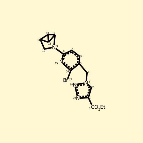 CCOC(=O)c1cn(Cc2ccc(N3CC4C5C4C53)nc2Br)nn1